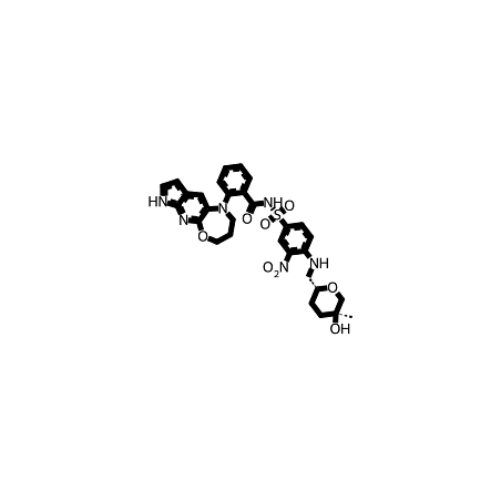 C[C@]1(O)CC[C@H](CNc2ccc(S(=O)(=O)NC(=O)c3ccccc3N3CCCOc4nc5[nH]ccc5cc43)cc2[N+](=O)[O-])OC1